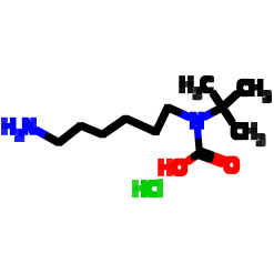 CC(C)(C)N(CCCCCCN)C(=O)O.Cl